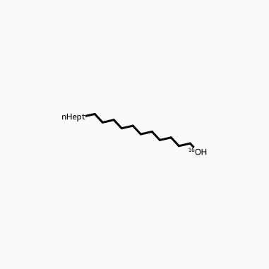 CCCCCCCCCCCCCCCCCC[16OH]